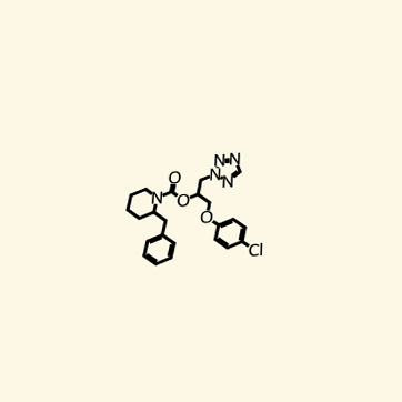 O=C(OC(COc1ccc(Cl)cc1)Cn1ncnn1)N1CCCCC1Cc1ccccc1